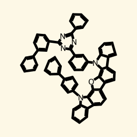 c1ccc(-c2ccc(-n3c4ccccc4c4ccc5c6ccc7c8ccccc8n(-c8cccc(-c9nc(-c%10ccccc%10)nc(-c%10cccc(-c%11ccccc%11)c%10)n9)c8)c7c6oc5c43)cc2)cc1